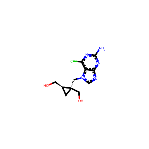 Nc1nc(Cl)c2c(ncn2C[C@]2(CO)C[C@H]2CO)n1